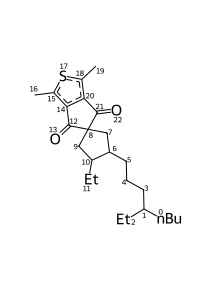 CCCCC(CC)CCCC1CC2(CC1CC)C(=O)c1c(C)sc(C)c1C2=O